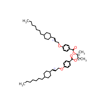 CCCCCCCC1CCC(/C=C/COc2ccc(C(=O)O[C@H](C)[C@@H](C)OC(=O)c3ccc(OC/C=C/C4CCC(CCCCCCC)CC4)cc3)cc2)CC1